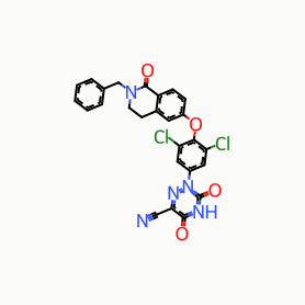 N#Cc1nn(-c2cc(Cl)c(Oc3ccc4c(c3)CCN(Cc3ccccc3)C4=O)c(Cl)c2)c(=O)[nH]c1=O